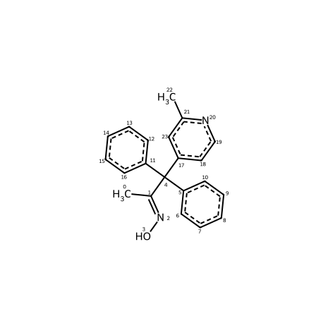 CC(=NO)C(c1ccccc1)(c1ccccc1)c1ccnc(C)c1